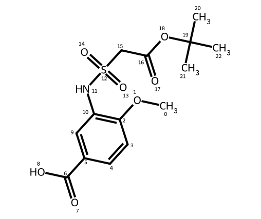 COc1ccc(C(=O)O)cc1NS(=O)(=O)CC(=O)OC(C)(C)C